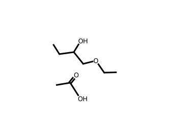 CC(=O)O.CCOCC(O)CC